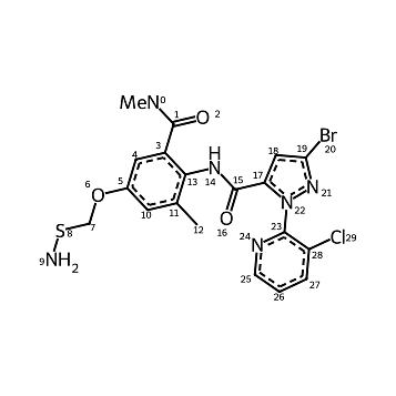 CNC(=O)c1cc(OCSN)cc(C)c1NC(=O)c1cc(Br)nn1-c1ncccc1Cl